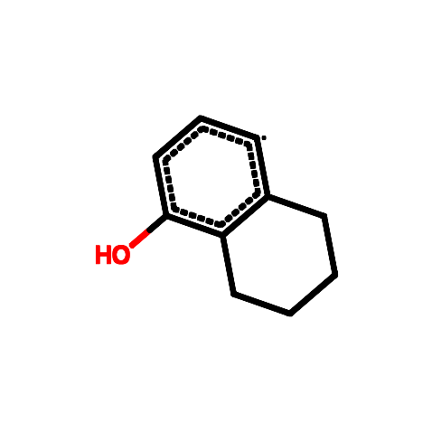 Oc1cc[c]c2c1CCCC2